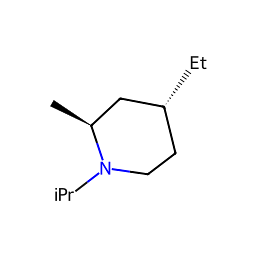 CC[C@@H]1CCN(C(C)C)[C@@H](C)C1